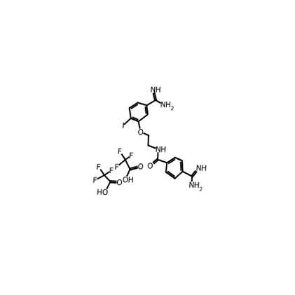 N=C(N)c1ccc(C(=O)NCCOc2cc(C(=N)N)ccc2I)cc1.O=C(O)C(F)(F)F.O=C(O)C(F)(F)F